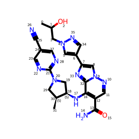 CC(O)Cn1cc(-c2cn3ncc(C(N)=O)c(N[C@@H]4CN(c5ncc(C#N)cn5)C[C@@H]4C)c3n2)cn1